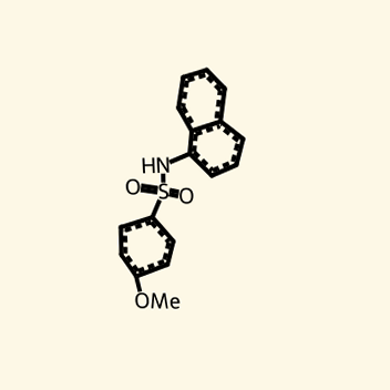 COc1ccc(S(=O)(=O)Nc2cccc3ccccc23)cc1